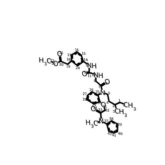 CCC(C)CCN(C(=O)CNC(=O)Nc1cccc(CC(=O)OC)c1)c1ccccc1OCC(=O)N(C)c1ccccc1